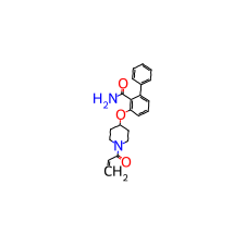 C=CC(=O)N1CCC(Oc2cccc(-c3ccccc3)c2C(N)=O)CC1